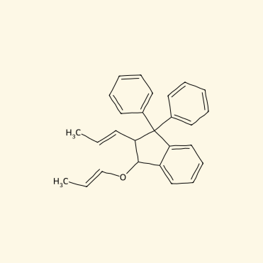 CC=COC1c2ccccc2C(c2ccccc2)(c2ccccc2)C1C=CC